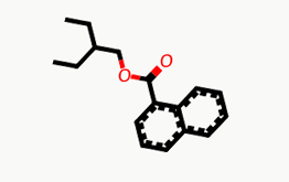 CCC(CC)COC(=O)c1cccc2ccccc12